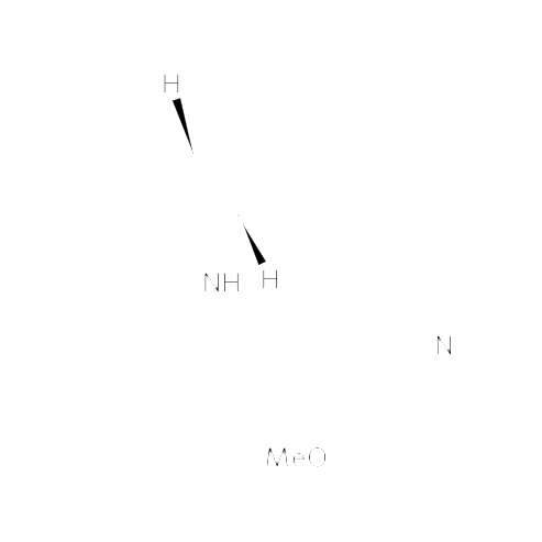 COc1cc(C2=CCC[C@H]3CCCN[C@@H]23)cnc1C